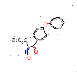 CCOC(=O)/C(=N/O)C(=O)c1ccc(Oc2ccccc2)cc1